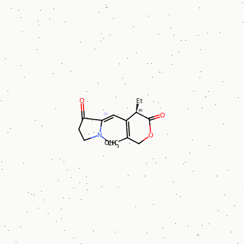 CC[C@H]1C(=O)OCC(C=O)=C1/C=C1/C(=O)CCN1C